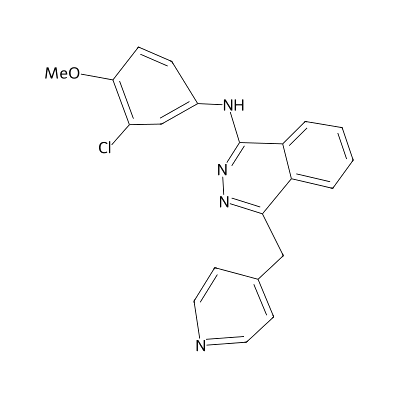 COc1ccc(Nc2nnc(Cc3ccncc3)c3ccccc23)cc1Cl